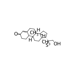 C[C@]12CC[C@H]3[C@@H](CCC4=CC(=O)CC[C@@]43C)[C@@H]1CC[C@@H]2C(=S)CO